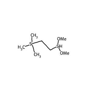 CO[SiH](CC[Si](C)(C)C)OC